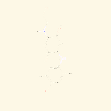 Cc1cc(NC2=CC(=O)C(N(C)CCO)=CC2=O)c(C)cc1O